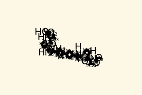 COC(=O)N[C@H](C(=O)N1CCC[C@H]1c1ncc(-c2ccc(-c3ncc(C4=CNC([C@@H]5CCCN5C(=O)[C@@H](NC(=O)O)C(C)C)N4)cn3)cc2)[nH]1)C(C)C